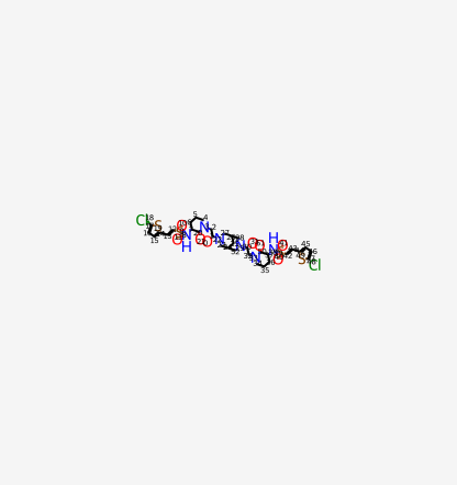 O=C(CN1CCC[C@H](NS(=O)(=O)/C=C/c2ccc(Cl)s2)C1=O)N1CC2CC(C1)CN(C(=O)CN1CCC[C@H](NS(=O)(=O)/C=C/c3ccc(Cl)s3)C1=O)C2